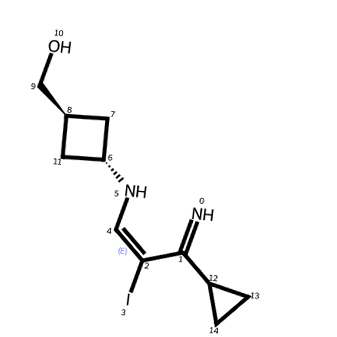 N=C(/C(I)=C\N[C@H]1C[C@H](CO)C1)C1CC1